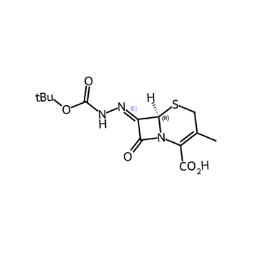 CC1=C(C(=O)O)N2C(=O)/C(=N\NC(=O)OC(C)(C)C)[C@H]2SC1